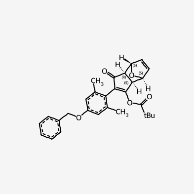 Cc1cc(OCc2ccccc2)cc(C)c1C1=C(OC(=O)C(C)(C)C)[C@H]2[C@@H](C1=O)[C@@H]1C=C[C@@H]2O1